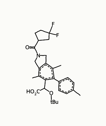 Cc1ccc(-c2c(C)c3c(c(C)c2C(OC(C)(C)C)C(=O)O)CN(C(=O)C2CCC(F)(F)C2)C3)cc1